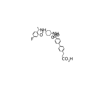 C[C@@H](NC(=O)[C@H]1CC[C@H](NS(=O)(=O)c2ccc(-c3ccc(CCC(=O)O)cc3)cc2)CC1)c1ccc(F)cc1